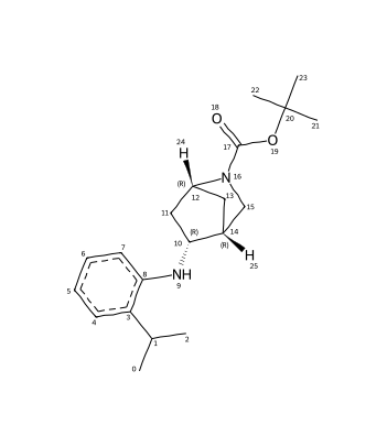 CC(C)c1ccccc1N[C@@H]1C[C@H]2C[C@@H]1CN2C(=O)OC(C)(C)C